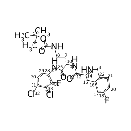 CC(C)(C)OC(=O)NCC[C@H](NC(=O)[C@@H]1Cc2cc(F)ccc2CN1)C(=O)Nc1ccc(Cl)c(Cl)c1F